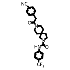 N#Cc1ccc(CC(=O)N2CCC3(CC2)CCN(C(=O)Nc2ccc(C(F)(F)F)cc2)C3)cc1